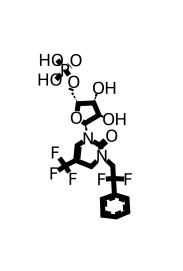 O=C1N(CC(F)(F)c2ccccc2)CC(C(F)(F)F)=CN1[C@@H]1O[C@H](COP(=O)(O)O)[C@H](O)[C@@H]1O